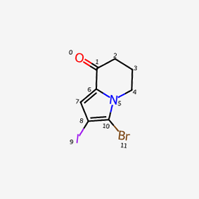 O=C1CCCn2c1cc(I)c2Br